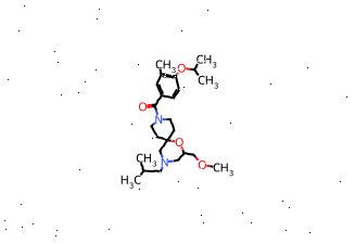 COCC1CN(CC(C)C)CC2(CCN(C(=O)c3ccc(OC(C)C)c(C)c3)CC2)O1